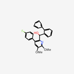 COc1cc(-c2ccc(F)cc2)c(C(O)c2ccccc2-c2ccccc2)nc1OC